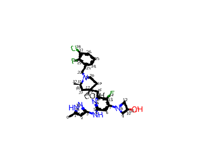 Cc1cc(Nc2cc(N3CC(O)C3)c(F)c(C[C@@]3(C(=O)O)CCN(Cc4cccc(Cl)c4F)[C@H](C)C3)n2)n[nH]1